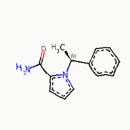 C[C@@H](c1ccccc1)n1cccc1C(N)=O